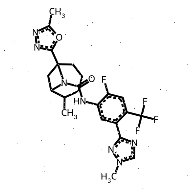 Cc1nnc(C23CCCC(C)C(C2)N3C(=O)Nc2cc(-c3ncn(C)n3)c(C(F)(F)F)cc2F)o1